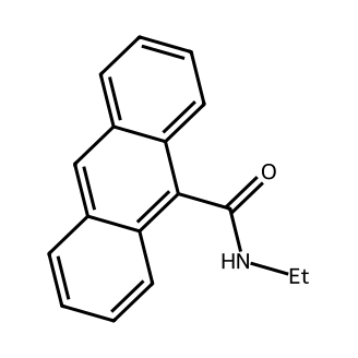 [CH2]CNC(=O)c1c2ccccc2cc2ccccc12